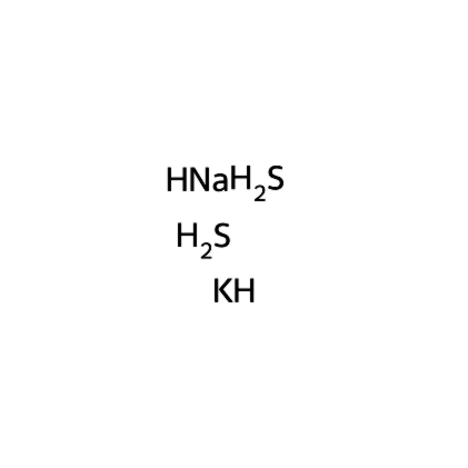 S.S.[KH].[NaH]